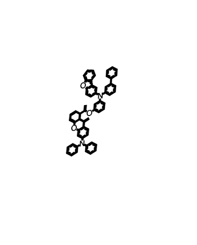 C=C(Oc1cccc(N(c2cccc(-c3ccccc3)c2)c2ccc3oc4ccccc4c3c2)c1)C1C=CC=C2Oc3cc(N(c4ccccc4)c4ccccc4)ccc3C(=C)C21